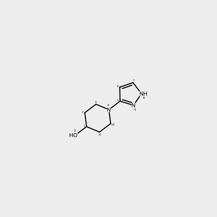 OC1CCN(c2cc[nH]n2)CC1